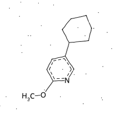 COc1ccc(C2C[CH]CCC2)cn1